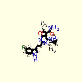 Cc1oc2nc(CCc3c[nH]c4ccc(F)cc34)nc(NC3(C)CC3)c2c1C(N)=O